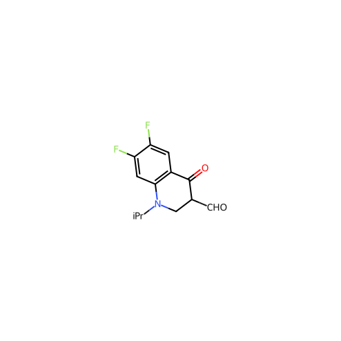 CC(C)N1CC(C=O)C(=O)c2cc(F)c(F)cc21